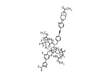 COC(=O)N[C@H](C(=O)N[C@@H](Cc1ccc(C#Cc2ccc(N3CC4CC(CN(C(C)=O)C4)C3)nc2)cc1)[C@@H](O)CN(Cc1c(F)cc(-c2cnn(C(F)F)c2)cc1F)NC(=O)[C@@H](NC(=O)OC)C(C)(C)C(F)(F)F)C(C)(C)C(F)(F)F